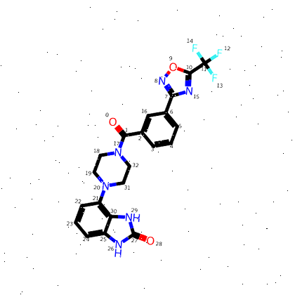 O=C(c1cccc(-c2noc(C(F)(F)F)n2)c1)N1CCN(c2cccc3[nH]c(=O)[nH]c23)CC1